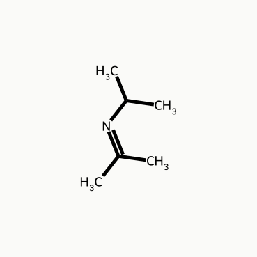 CC(C)=NC(C)C